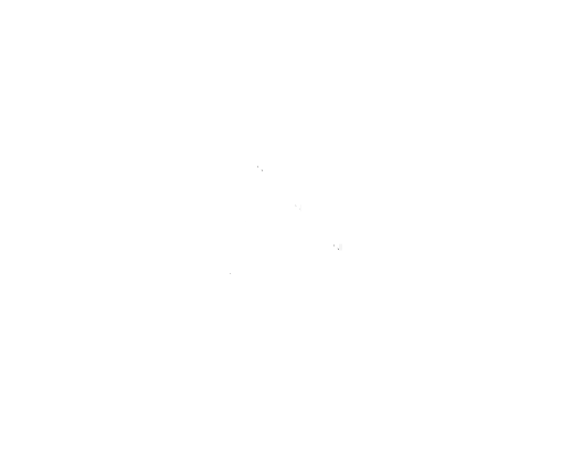 CC(C)(C)c1cc(N)nc(N)c1